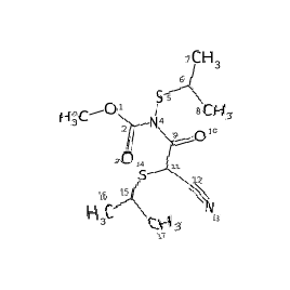 COC(=O)N(SC(C)C)C(=O)C(C#N)SC(C)C